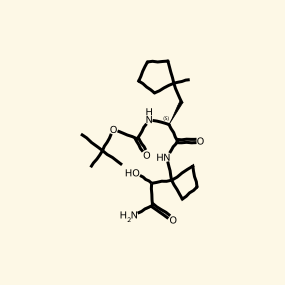 CC1(C[C@H](NC(=O)OC(C)(C)C)C(=O)NC2(C(O)C(N)=O)CCC2)CCCC1